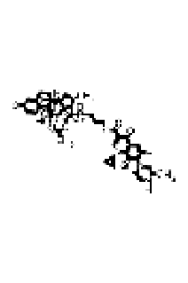 COc1c(N2CCNC(C)C2)c(F)cc2c(=O)c(C(=O)OCCCC(=O)O[C@@]3(C(=O)COC(C)=O)[C@@H](C)C[C@@H]4[C@H]5CCC6=CC(=O)C=C[C@@]6(C)[C@]5(F)[C@H](O)C[C@]43C)cn(C3CC3)c12